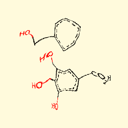 O=C(O)c1cc(O)c(O)c(O)c1.OCc1ccccc1